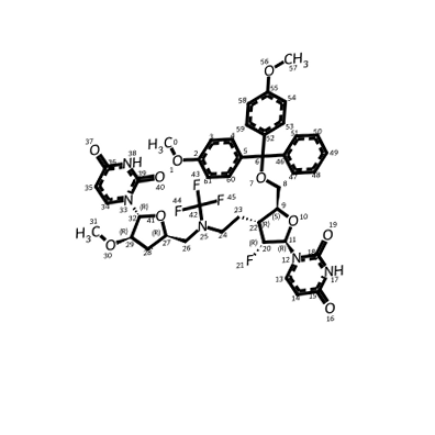 COc1ccc(C(OC[C@H]2O[C@@H](n3ccc(=O)[nH]c3=O)[C@H](F)[C@@H]2CCN(C[C@H]2[CH][C@@H](OC)[C@H](n3ccc(=O)[nH]c3=O)O2)C(F)(F)F)(c2ccccc2)c2ccc(OC)cc2)cc1